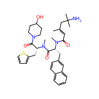 C/C(=C\C(=O)N(C)[C@H](Cc1ccc2ccccc2c1)C(=O)N(C)[C@H](Cc1cccs1)C(=O)N1CCC(O)CC1)CC(C)(C)N